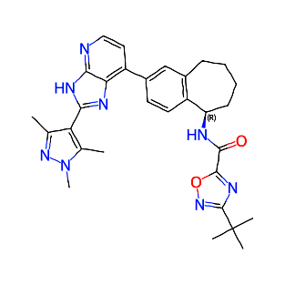 Cc1nn(C)c(C)c1-c1nc2c(-c3ccc4c(c3)CCCC[C@H]4NC(=O)c3nc(C(C)(C)C)no3)ccnc2[nH]1